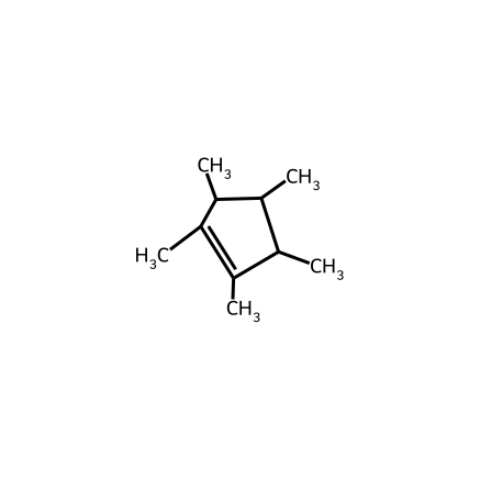 CC1=C(C)C(C)C(C)C1C